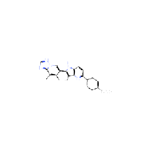 CNC1CCC(c2ccc3[nH]c(-c4cn5ncnc5c(C)c4C)c(C(C)C)c3n2)CC1